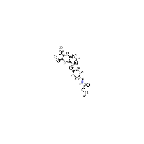 CCOC(=O)/C=C/c1ccc(Oc2ncnc3cc(OC)c(OC)cc23)cc1